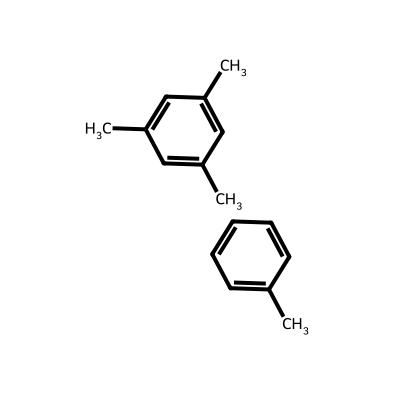 Cc1cc(C)cc(C)c1.Cc1ccccc1